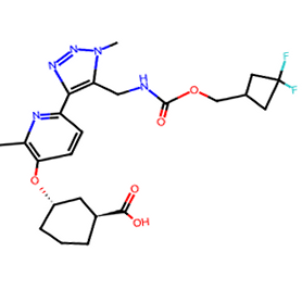 Cc1nc(-c2nnn(C)c2CNC(=O)OCC2CC(F)(F)C2)ccc1O[C@H]1CCC[C@H](C(=O)O)C1